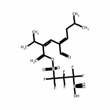 C=C(OS(=O)(=O)C(F)(F)C(F)(F)C(F)(F)S(=O)(=O)O)/C(=C\C(C=O)=C/CC(C)C)C(C)C